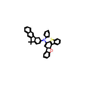 CC1(C)C2=CC=C(N(C3=CC4c5ccccc5OC4c4c3sc3ccccc43)c3ccccc3)CC2c2cc3ccccc3cc21